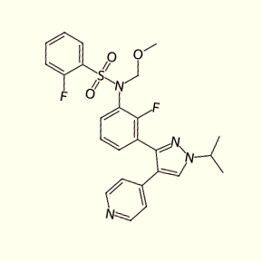 COCN(c1cccc(-c2nn(C(C)C)cc2-c2ccncc2)c1F)S(=O)(=O)c1ccccc1F